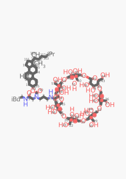 CCC(C)CNC(=O)CN(CCCNCC(=O)OCC1OC2OC3C(CO)OC(OC4C(CO)OC(OC5C(CO)OC(OC6C(CO)OC(OC7C(CO)OC(OC8C(CO)OC(OC1C(O)C2O)C(O)C8O)C(O)C7O)C(O)C6O)C(O)C5O)C(O)C4O)C(O)C3O)C(=O)OC1CCC2(C)C(CCC3C2CCC2(C)C(C(C)CCCC(C)C)CCC32)C1